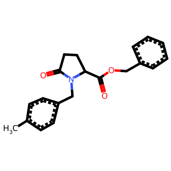 Cc1ccc(CN2C(=O)CCC2C(=O)OCc2ccccc2)cc1